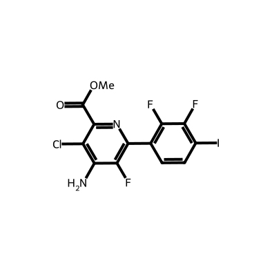 COC(=O)c1nc(-c2ccc(I)c(F)c2F)c(F)c(N)c1Cl